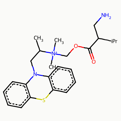 CC(C)C(CN)C(=O)OC[N+](C)(C)C(C)CN1c2ccccc2Sc2ccccc21